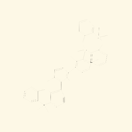 Cc1ccc(-c2ccc(C)c([Si]3(C)Sc4ccccc4[Si](C)(C)Oc4ccccc43)c2C)c(C)c1-c1cccc2c1Oc1ccccc1C2(C)C